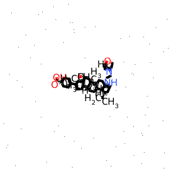 C=C(C)[C@@H]1CC[C@]2(NCCN3C[C@@H]4CC3CO4)CC[C@]3(C)[C@H](CC[C@@H]4[C@@]5(C)CC=C(C6=CC[C@H](C(=O)O)CC6)C(C)(C)[C@@H]5CC[C@]43C)[C@@H]12